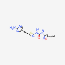 CC(C)(C)c1cc(NC(=O)Nc2ncc(C#Cc3cnc(N)nc3)s2)no1